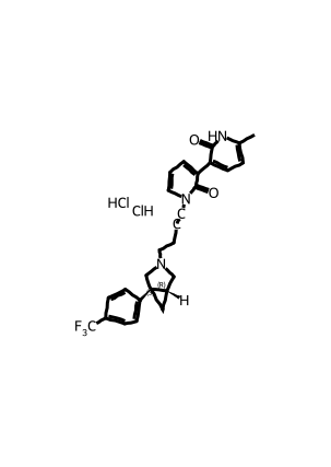 Cc1ccc(-c2cccn(CCCCN3C[C@@H]4C[C@]4(c4ccc(C(F)(F)F)cc4)C3)c2=O)c(=O)[nH]1.Cl.Cl